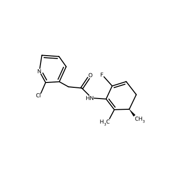 CC1=C(NC(=O)Cc2cccnc2Cl)C(F)=CC[C@H]1C